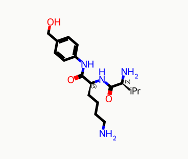 CC(C)[C@H](N)C(=O)N[C@@H](CCCCN)C(=O)Nc1ccc(CO)cc1